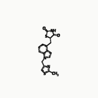 Cc1nc(Cn2ccc3c(CC4SC(=O)NC4=O)cccc32)cs1